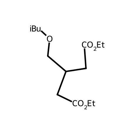 CCOC(=O)CC(COC(C)CC)CC(=O)OCC